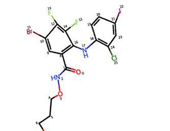 O=C(NOCCCO)c1cc(Br)c(F)c(F)c1Nc1ccc(I)cc1Cl